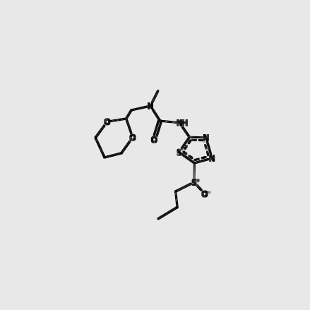 CCC[S+]([O-])c1nnc(NC(=O)N(C)CC2OCCCO2)s1